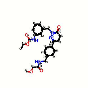 CCOC(=O)Nc1cccc(Cn2nc(-c3ccc(CNC(=O)COC)cc3)ccc2=O)c1